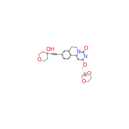 O=c1nc(OC[C@H]2COCCO2)cc2n1CCc1cc(C#CC3(O)CCOCC3)ccc1-2